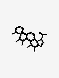 C=C(C)C1C=Cc2c(C)c(C)c3c(ccc4c5cc[c]c(C)c5c(C)c(C)c43)c21